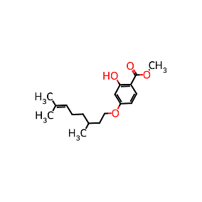 COC(=O)c1ccc(OCCC(C)CCC=C(C)C)cc1O